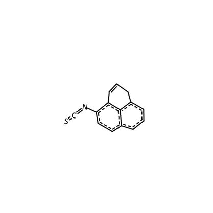 S=C=Nc1ccc2cccc3c2c1C=CC3